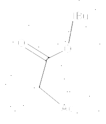 [CH2]C(=O)CC(=O)OC(C)(C)C